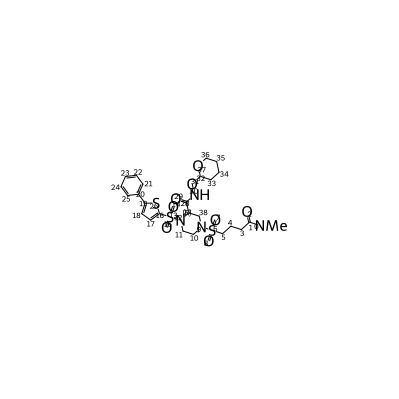 CNC(=O)CCCS(=O)(=O)N1CCN(S(=O)(=O)c2ccc(-c3ccccc3)s2)[C@@H](C(=O)NOC2CCCCO2)C1